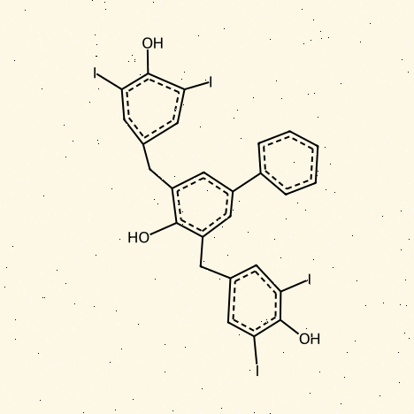 Oc1c(I)cc(Cc2cc(-c3ccccc3)cc(Cc3cc(I)c(O)c(I)c3)c2O)cc1I